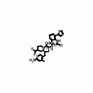 CCC(=O)Nc1c(-c2cccs2)cccc1S(=O)(=O)N[C@@H](CCCc1cnc(N)cc1C)C(=O)N1CCC(=C(F)F)CC1